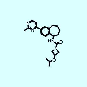 Cc1nccc(-c2ccc3c(c2)CCCCC3NC(=O)N2CC(OC(C)C)C2)n1